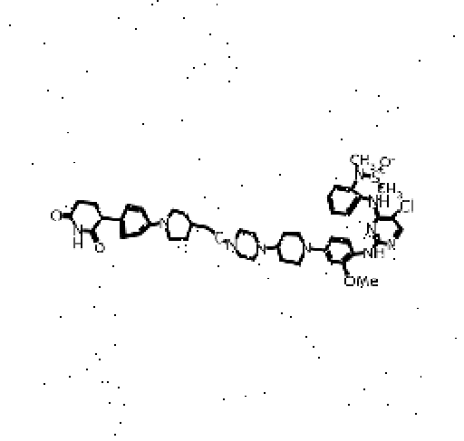 COc1cc(N2CCC(N3CCN(CCC4CCN(c5ccc(C6CCC(=O)NC6=O)cc5)CC4)CC3)CC2)ccc1Nc1ncc(Cl)c(Nc2ccccc2N(C)[S+](C)[O-])n1